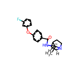 C[C@H]1[C@H](NC(=O)c2ccc(Oc3cccc(F)c3)cc2)C2CCN1CC2